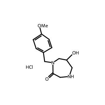 COc1ccc(CN2CC(O)CNCC2=O)cc1.Cl